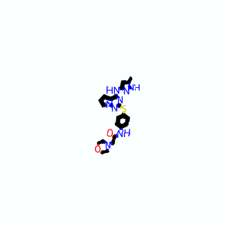 Cc1cc(Nc2nc(Sc3ccc(NC(=O)CN4CCOCC4)cc3)nn3cccc23)n[nH]1